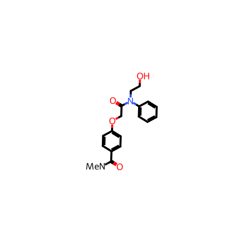 CNC(=O)c1ccc(OCC(=O)N(CCO)c2ccccc2)cc1